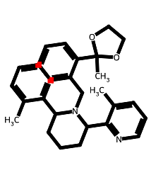 Cc1cccnc1C1CCCC(c2ncccc2C)N1Cc1ccccc1C1(C)OCCO1